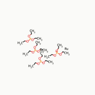 CCOP(OCC)OCC.CCOP(OCC)OCC.CCOP(OCC)OCC.CCOP(OCC)OCC.[Ru]